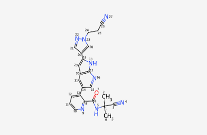 CC(C)(C#N)NC(=O)c1ncccc1-c1cnc2[nH]c(-c3cnn(CCC#N)c3)cc2c1